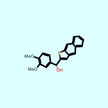 COc1ccc([C@@H](O)c2cc3cc4ccccc4cc3s2)cc1OC